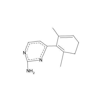 CC1=CCCC(C)=C1c1ccnc(N)n1